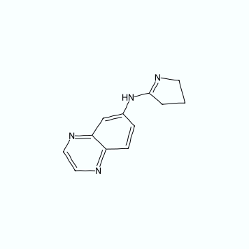 c1cnc2cc(NC3=NCCC3)ccc2n1